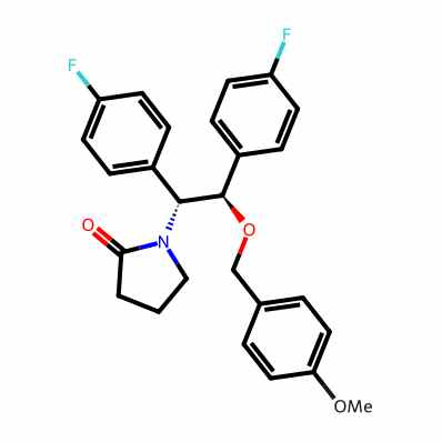 COc1ccc(CO[C@H](c2ccc(F)cc2)[C@@H](c2ccc(F)cc2)N2CCCC2=O)cc1